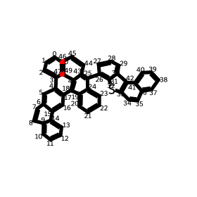 c1ccc(-c2cc3ccc4ccccc4c3cc2-c2c3ccccc3c(-c3cccc4c3sc3ccc5ccccc5c34)c3ccccc23)cc1